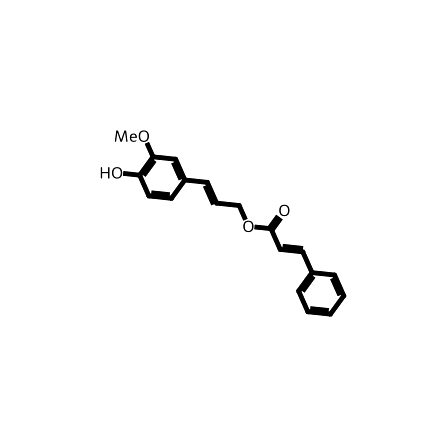 COc1cc(C=CCOC(=O)C=Cc2ccccc2)ccc1O